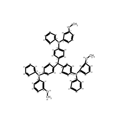 COc1cccc(N(c2ccccc2)c2ccc(C(c3ccc(N(c4ccccc4)c4cccc(OC)c4)cc3)c3ccc(N(c4ccccc4)c4cccc(OC)c4)cc3)cc2)c1